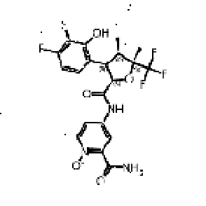 C[C@@H]1[C@H](c2ccc(F)c(F)c2O)[C@H](C(=O)Nc2cc[n+]([O-])c(C(N)=O)c2)O[C@@]1(C)C(F)(F)F